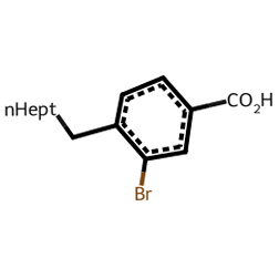 CCCCCCCCc1ccc(C(=O)O)cc1Br